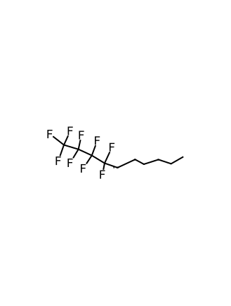 CCCCC[CH]C(F)(F)C(F)(F)C(F)(F)C(F)(F)F